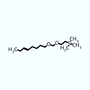 CC/C=C/CCCCOCOCC[Si](C)(C)C